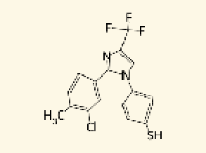 Cc1ccc(-c2nc(C(F)(F)F)cn2-c2ccc(S)cc2)cc1Cl